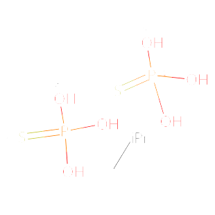 CC(C)C.OP(O)(O)=S.OP(O)(O)=S